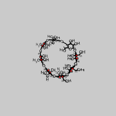 COC1OC2OC3C(CO)OC(OC4C(CO)OC(OC5C(CO)OC(OC6C(CO)OC(OC7C(C)OC(OC8C(C)OC(OC9C(C)OC(OC1C(O)C2O)C(O)C9O)C(O)C8O)C(O)C7O)C(O)C6O)C(O)C5O)C(O)C4O)C(O)C3O